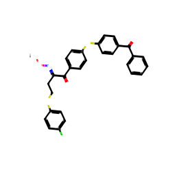 CC(C)O/N=C(\CCSc1ccc(Cl)cc1)C(=O)c1ccc(Sc2ccc(C(=O)c3ccccc3)cc2)cc1